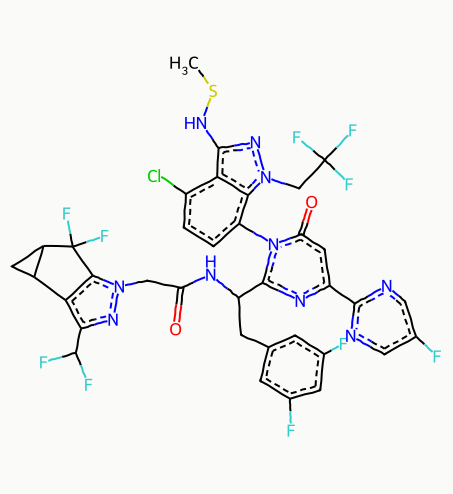 CSNc1nn(CC(F)(F)F)c2c(-n3c(C(Cc4cc(F)cc(F)c4)NC(=O)Cn4nc(C(F)F)c5c4C(F)(F)C4CC54)nc(-c4ncc(F)cn4)cc3=O)ccc(Cl)c12